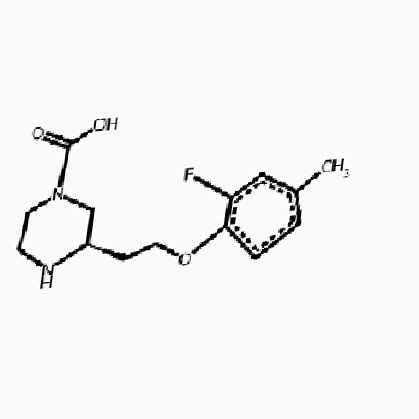 Cc1ccc(OCC[C@@H]2CN(C(=O)O)CCN2)c(F)c1